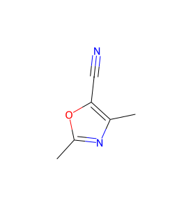 Cc1nc(C)c(C#N)o1